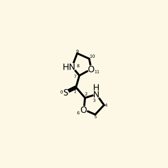 S=C(C1NCCO1)C1NCCO1